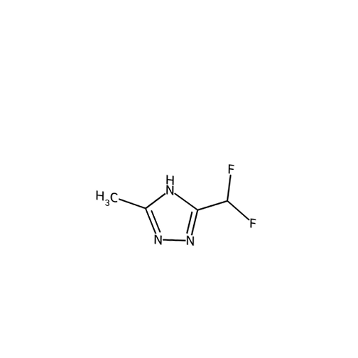 Cc1nnc(C(F)F)[nH]1